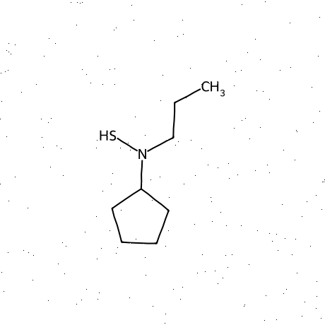 CCCN(S)C1CCCC1